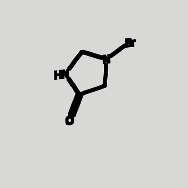 O=C1CN(Br)CN1